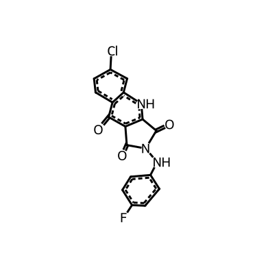 O=C1c2[nH]c3cc(Cl)ccc3c(=O)c2C(=O)N1Nc1ccc(F)cc1